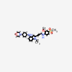 CCOc1cc(S(C)(=O)=O)ccc1NCC#Cc1cc2c(N[C@H]3CC[C@@H](N4CCOCC4)CC3)cccc2n1CC(F)(F)F